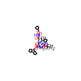 CC[C@H](CN(CCC(=O)CNC(=O)OCc1ccccc1)C(=O)[C@H](CCNC(=O)OC(C)(C)C)NC(=O)OCC1c2ccccc2-c2ccccc21)c1ccccc1